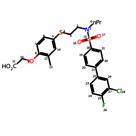 CCCN(CCSc1ccc(OCC(=O)O)c(C)c1)S(=O)(=O)c1ccc(-c2ccc(F)c(Cl)c2)cc1